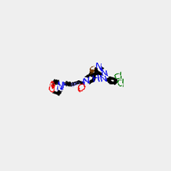 O=C(/C=C/CN1CCCOCC1)N1CCc2c(sc3ncnc(Nc4ccc(Cl)c(Cl)c4)c23)C1